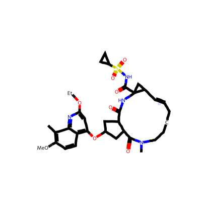 CCOc1cc(OC2CC3C(=O)NC4(C(=O)NS(=O)(=O)C5CC5)CC4/C=C/CCCCN(C)C(=O)C3C2)c2ccc(OC)c(C)c2n1